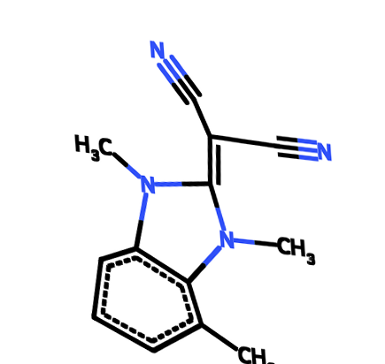 Cc1cccc2c1N(C)C(=C(C#N)C#N)N2C